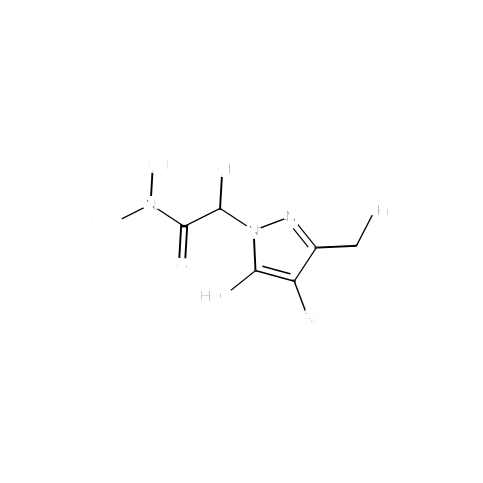 Cc1c(Br)c(CC(C)C)nn1C(C)C(=O)N(C)C